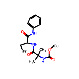 CC(C)CC(NC(=O)C(C)(C)NC(=O)OC(C)(C)C)C(=O)Nc1ccccc1